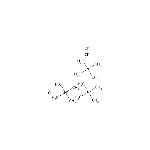 C[N+](C)(C)C.C[N+](C)(C)C.C[N+](C)(C)C.[Cl-].[Cl-].[Cl-]